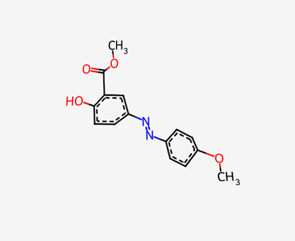 COC(=O)c1cc(/N=N/c2ccc(OC)cc2)ccc1O